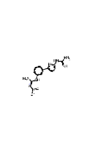 N=C(N)Nc1nc(-c2cccc(N/C(N)=N\[N+](=O)[O-])c2)cs1